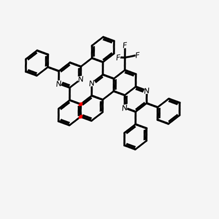 FC(F)(F)c1cc2nc(-c3ccccc3)c(-c3ccccc3)nc2c2c1c(-c1ccccc1-c1cc(-c3ccccc3)nc(-c3ccccc3)n1)nc1ccccc12